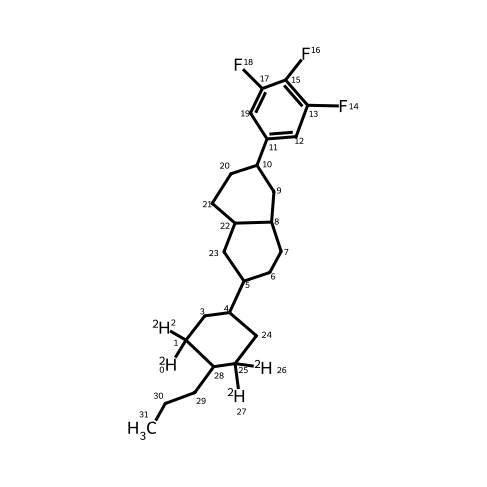 [2H]C1([2H])CC(C2CCC3CC(c4cc(F)c(F)c(F)c4)CCC3C2)CC([2H])([2H])C1CCC